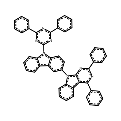 c1ccc(-c2nc(-c3ccccc3)nc(-n3c4ccccc4c4cc(-n5c6ccccc6c6c(-c7ccccc7)nc(-c7ccccc7)nc65)ccc43)n2)cc1